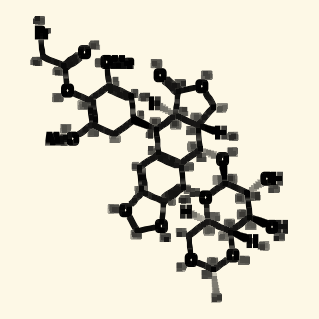 COC1=CC([C@@H]2c3cc4c(cc3[C@@H](O[C@@H]3O[C@@H]5CO[C@@H](C)O[C@H]5[C@H](O)[C@H]3O)[C@H]3COC(=O)[C@@H]32)OCO4)CC(OC)=C1OC(=O)CBr